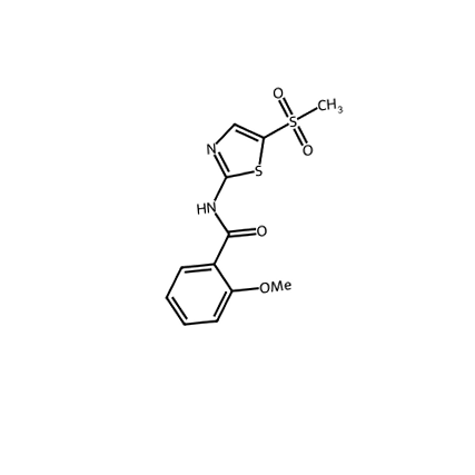 COc1ccccc1C(=O)Nc1ncc(S(C)(=O)=O)s1